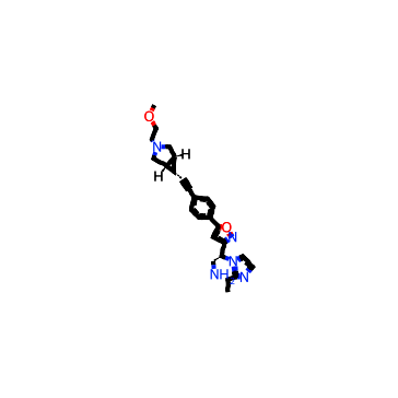 CCc1nccn1[C@H](CN)c1cc(-c2ccc(C#C[C@@H]3[C@H]4CN(CCOC)C[C@@H]34)cc2)on1